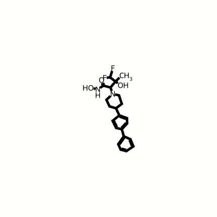 CC(O)(C(F)F)C(C(=O)NO)N1CCC(c2ccc(-c3ccccc3)cc2)CC1